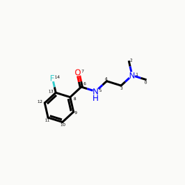 CN(C)CCNC(=O)c1ccccc1F